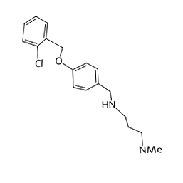 CNCCCNCc1ccc(OCc2ccccc2Cl)cc1